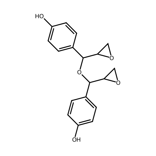 Oc1ccc(C(OC(c2ccc(O)cc2)C2CO2)C2CO2)cc1